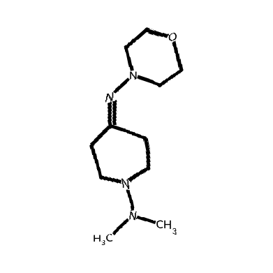 CN(C)N1CCC(=NN2CCOCC2)CC1